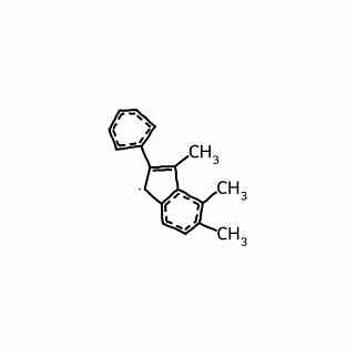 CC1=C(c2ccccc2)[CH]c2ccc(C)c(C)c21